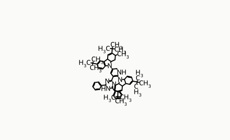 CC1CC2C(C=C1C(C)(C)C)c1cc(C(C)(C)C)ccc1N2C1=CC(C2=NC(c3ccccc3)NC(c3ccccc3)=N2)=C(N2C3C=CC(C(C)(C)C)=CC3C3C=C(C(C)(C)C)C=CC32)NC1